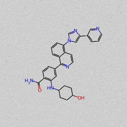 NC(=O)c1ccc(-c2nccc3c(-n4cnc(-c5cccnc5)c4)cccc23)cc1NC1CCC(O)CC1